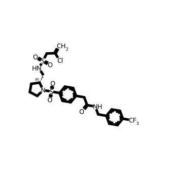 C=C(Cl)CS(=O)(=O)NC[C@H]1CCCN1S(=O)(=O)c1ccc(CC(=O)NCc2ccc(C(F)(F)F)cc2)cc1